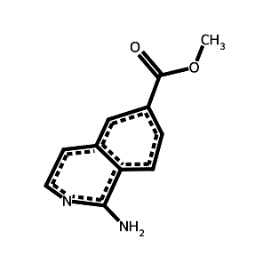 COC(=O)c1ccc2c(N)nccc2c1